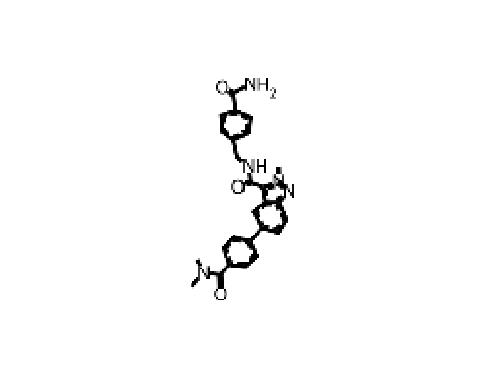 CN(C)C(=O)c1ccc(-c2ccc3nn(C)c(C(=O)NCc4ccc(C(N)=O)cc4)c3c2)cc1